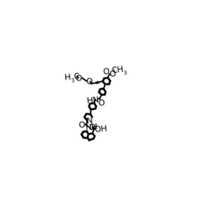 COCCOCC#Cc1cc(C(=O)OC)ccc1-c1ccc(C(=O)Nc2ccc(-c3ccc(C(=O)Nc4cccc5cccc(C(=O)O)c45)nc3)cc2)cc1